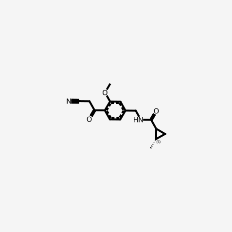 COc1cc(CNC(=O)C2C[C@@H]2C)ccc1C(=O)CC#N